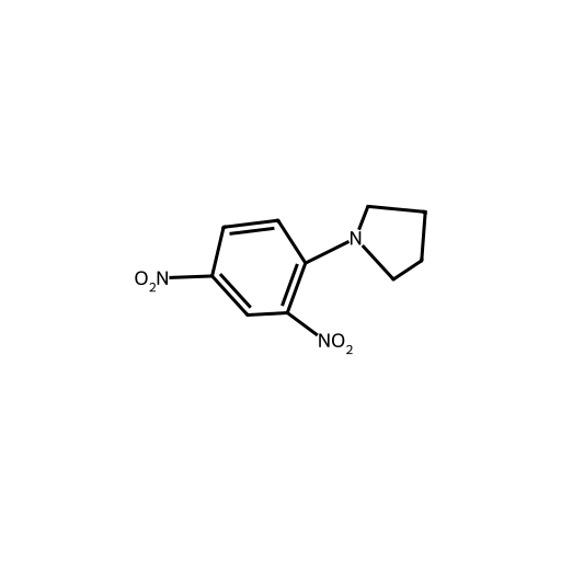 O=[N+]([O-])c1ccc(N2CCCC2)c([N+](=O)[O-])c1